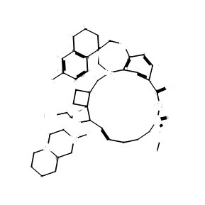 CCO[C@]1(CN2CCN3CCCC[C@@H]3C2)/C=C/CC[C@@H](CC)S(=O)(=O)NC(=O)c2ccc3c(c2)N(C[C@@H]2CC[C@H]21)C[C@@]1(CCCc2cc(Cl)ccc21)CO3